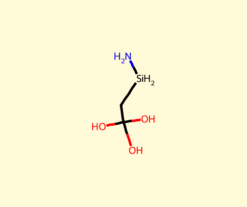 N[SiH2]CC(O)(O)O